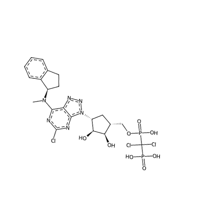 CN(c1nc(Cl)nc2c1nnn2[C@@H]1C[C@H](COP(=O)(O)C(Cl)(Cl)P(=O)(O)O)[C@@H](O)[C@H]1O)[C@@H]1CCc2ccccc21